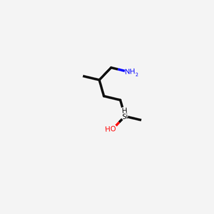 CC(CN)CC[SiH](C)O